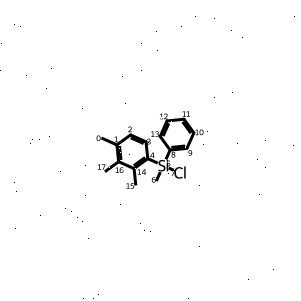 Cc1ccc([Si](C)(Cl)c2ccccc2)c(C)c1C